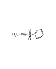 CC#CS(=O)(=O)c1ccccc1